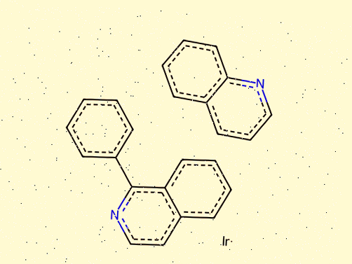 [Ir].c1ccc(-c2nccc3ccccc23)cc1.c1ccc2ncccc2c1